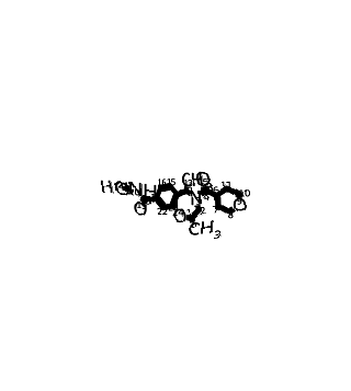 CC1CN(C(=O)C2CCOCC2)C(C)c2ccc(C(=O)NO)cc2O1